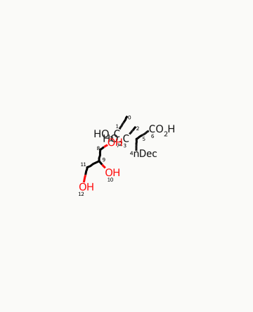 CC(=O)O.CC(=O)O.CCCCCCCCCCCC(=O)O.OCC(O)CO